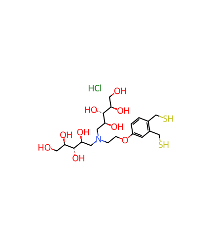 Cl.OC[C@@H](O)[C@@H](O)[C@@H](O)CN(CCOc1ccc(CS)c(CS)c1)C[C@H](O)[C@H](O)[C@H](O)CO